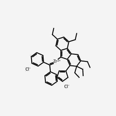 CCC1=CC2=c3c(CC)cc(CC)cc3=[C]([Zr+2]=[C](c3ccccc3)c3ccccc3)C2=C(C2=CC=CC2)C1(CC)CC.[Cl-].[Cl-]